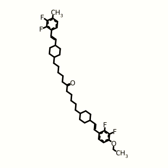 CCOc1ccc(/C=C/C2CCC(CCCCCC(=O)CCCCCC3CCC(/C=C/c4ccc(C)c(F)c4F)CC3)CC2)c(F)c1F